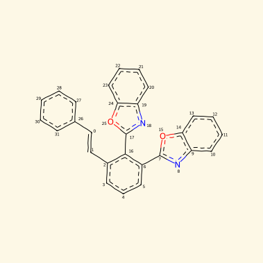 C(=Cc1cccc(-c2nc3ccccc3o2)c1-c1nc2ccccc2o1)c1ccccc1